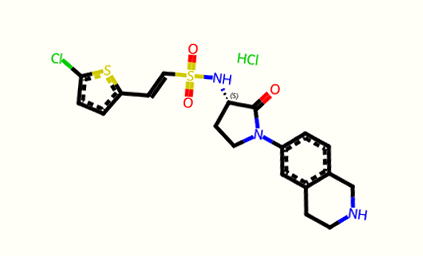 Cl.O=C1[C@@H](NS(=O)(=O)C=Cc2ccc(Cl)s2)CCN1c1ccc2c(c1)CCNC2